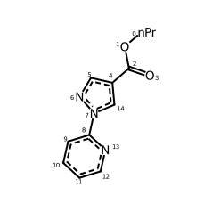 CCCOC(=O)c1cnn(-c2ccccn2)c1